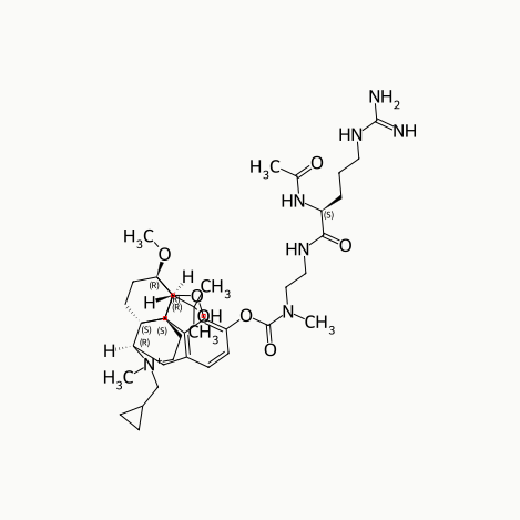 CO[C@]12CC[C@@]3(C[C@@H]1C(C)(C)O)[C@H]1Cc4ccc(OC(=O)N(C)CCNC(=O)[C@H](CCCNC(=N)N)NC(C)=O)c5c4[C@@]3(CC[N+]1(C)CC1CC1)[C@H]2O5